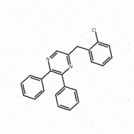 Clc1ccccc1Cc1cnc(-c2ccccc2)c(-c2ccccc2)n1